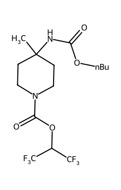 CCCCOC(=O)NC1(C)CCN(C(=O)OC(C(F)(F)F)C(F)(F)F)CC1